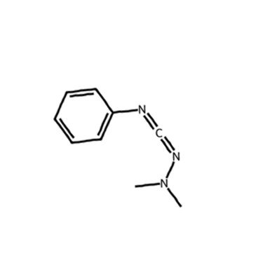 CN(C)N=C=Nc1ccccc1